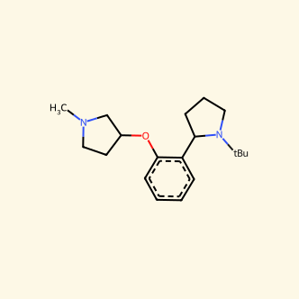 CN1CCC(Oc2ccccc2C2CCCN2C(C)(C)C)C1